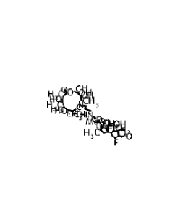 COC(=O)[C@@]1(OC(=O)CCNCCCN2C[C@H](C)C[C@@](C)(O)[C@H](O)[C@@H](C)[C@H](O)C(C)C(=O)OC[C@@](C)(O)C(O)[C@H]2C)[C@H](C)CC2C3C[C@H](F)C4=CC(=O)C=C[C@]4(C)[C@@]3(F)[C@@H](O)C[C@@]21C